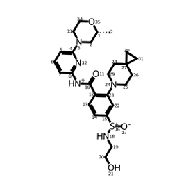 C[C@@H]1CN(c2cccc(NC(=O)c3ccc([S+]([O-])NCCO)cc3N3CCC4(CC3)CC4)n2)CCO1